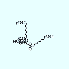 CCCCCCCCCCCCCCCCCC(=O)OCC(COP(=O)(O)O)OC(=O)CCCCCCCCCCCCCCCCC